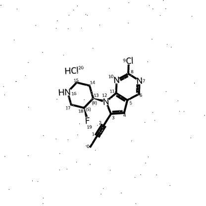 CC#Cc1cc2cnc(Cl)nc2n1[C@@H]1CCNC[C@@H]1F.Cl